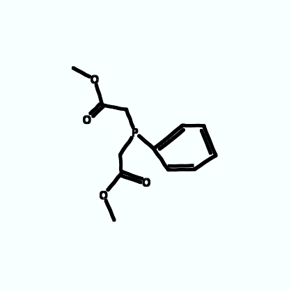 COC(=O)CP(CC(=O)OC)c1ccccc1